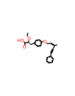 CCO[C@@H](Cc1ccc(OCC=C(C)C#Cc2ccccc2)cc1)C(=O)O